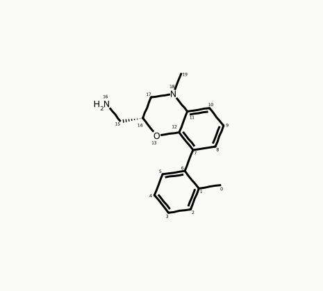 Cc1ccccc1-c1cccc2c1O[C@H](CN)CN2C